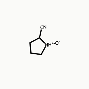 N#CC1CCC[NH+]1[O-]